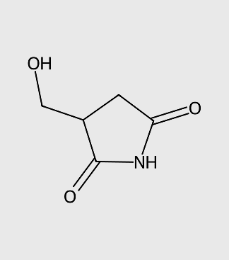 O=C1CC(CO)C(=O)N1